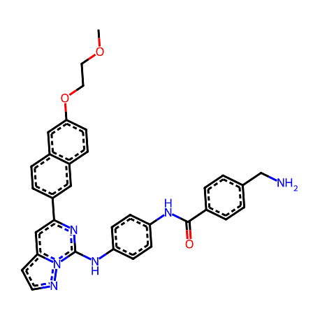 COCCOc1ccc2cc(-c3cc4ccnn4c(Nc4ccc(NC(=O)c5ccc(CN)cc5)cc4)n3)ccc2c1